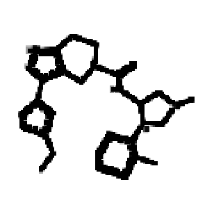 CCn1cc(-c2n[nH]c3c2CN(C(=O)NC2CN(C)C[C@H]2c2ccccc2C)CC3)cn1